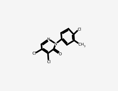 Cc1cc(-n2ncc(Cl)c(Cl)c2=O)ccc1Cl